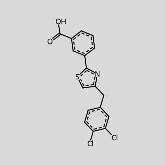 O=C(O)c1cccc(-c2nc(Cc3ccc(Cl)c(Cl)c3)cs2)c1